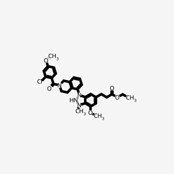 CCOC(=O)CCc1cc(OC)c2c(c1)N(c1cccc3c1CCN(C(=O)c1ccc(OC)cc1Cl)C3)NN2C